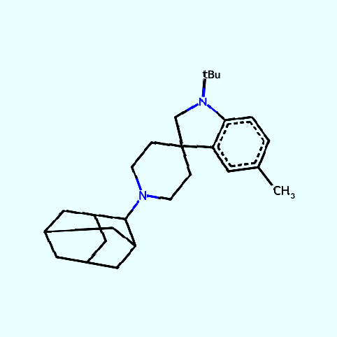 Cc1ccc2c(c1)C1(CCN(C3C4CC5CC(C4)CC3C5)CC1)CN2C(C)(C)C